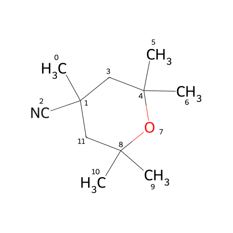 CC1(C#N)CC(C)(C)OC(C)(C)C1